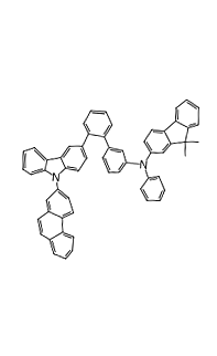 CC1(C)c2ccccc2-c2ccc(N(c3ccccc3)c3cccc(-c4ccccc4-c4ccc5c(c4)c4ccccc4n5-c4ccc5c(ccc6ccccc65)c4)c3)cc21